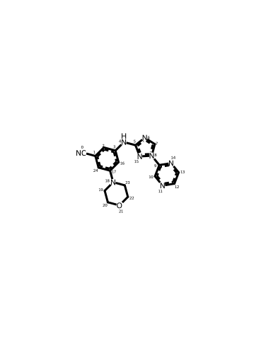 N#Cc1cc(Nc2ncn(-c3cnccn3)n2)cc(N2CCOCC2)c1